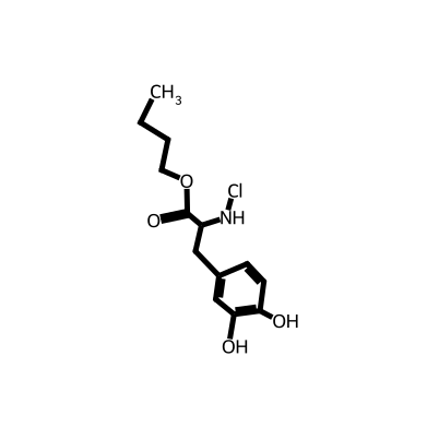 CCCCOC(=O)C(Cc1ccc(O)c(O)c1)NCl